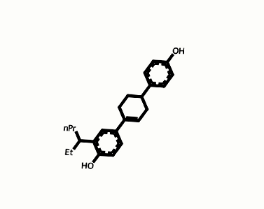 CCCC(CC)c1cc(C2=CCC(c3ccc(O)cc3)CC2)ccc1O